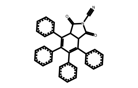 N#CN1C(=O)C2C(c3ccccc3)=C(c3ccccc3)C(c3ccccc3)=C(c3ccccc3)C2C1=O